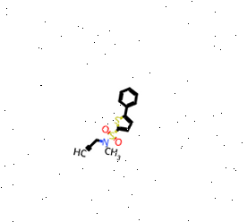 C#CCN(C)S(=O)(=O)c1ccc(-c2ccccc2)s1